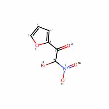 O=C(c1ccco1)C(Br)[N+](=O)[O-]